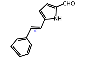 O=Cc1ccc(/C=C/c2ccccc2)[nH]1